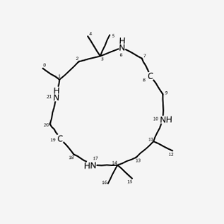 CC1CC(C)(C)NCCCNC(C)CC(C)(C)NCCCN1